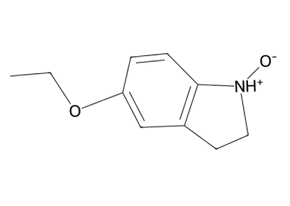 CCOc1ccc2c(c1)CC[NH+]2[O-]